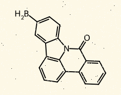 Bc1ccc2c(c1)c1cccc3c4ccccc4c(=O)n2c31